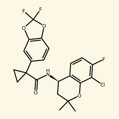 CC1(C)C[C@@H](NC(=O)C2(c3ccc4c(c3)OC(F)(F)O4)CC2)c2ccc(F)c(Cl)c2O1